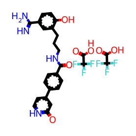 N=C(N)c1ccc(O)c(CCCNC(=O)c2ccc(-c3cc[nH]c(=O)c3)cc2)c1.O=C(O)C(F)(F)F.O=C(O)C(F)(F)F